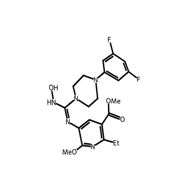 CCc1nc(OC)c(N=C(NO)N2CCN(c3cc(F)cc(F)c3)CC2)cc1C(=O)OC